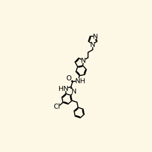 O=C(Nc1ccc2c(ccn2CCCn2ccnc2)c1)c1nc2c(Cc3ccccc3)cc(Cl)cc2[nH]1